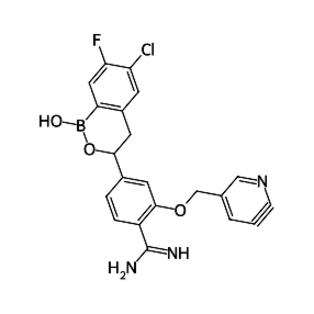 N=C(N)c1ccc(C2Cc3cc(Cl)c(F)cc3B(O)O2)cc1OCc1cc#cnc1